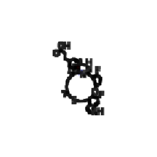 CC(C)N/C1=N\C(=N)c2cc(ccc2F)Oc2c(F)cc3[nH]ccc3c2CCSCC(C)(C)CCCC1(C)c1cccc(CCC(=O)O)c1